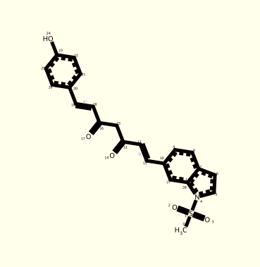 CS(=O)(=O)n1ccc2ccc(/C=C/C(=O)CC(=O)/C=C/c3ccc(O)cc3)cc21